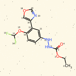 CCOC(=O)NNc1ccc(OC(F)F)c(-c2cocn2)c1